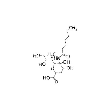 CCCCCCC(=O)N[C@]1(O)C(O)C=C(C(=O)O)OC1C(C)C(O)CO